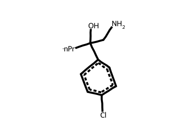 CC[CH]C(O)(CN)c1ccc(Cl)cc1